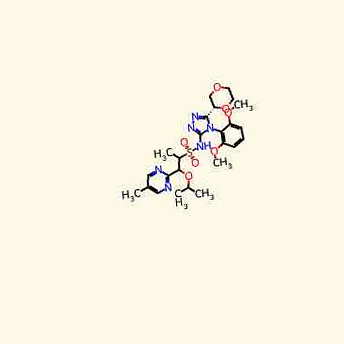 COc1cccc(OC)c1-n1c(NS(=O)(=O)C(C)C(OC(C)C)c2ncc(C)cn2)nnc1[C@@H]1COCCO1